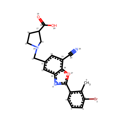 Cc1c(Br)cccc1-c1nc2cc(CN3CCC(C(=O)O)C3)cc(C#N)c2o1